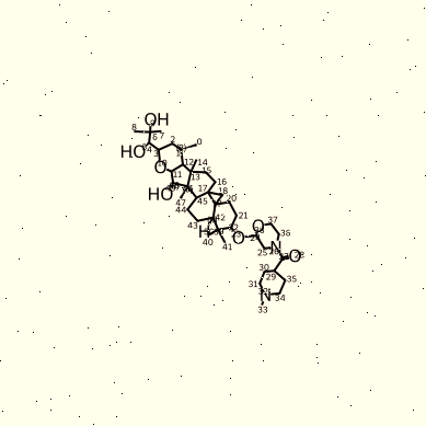 C[C@@H]1CC(C(O)C(C)(C)O)OC2C1C1(C)CCC34CC35CCC(OC3CN(C(=O)C6CCN(C)CC6)CCO3)C(C)(C)[C@@H]5CCC4[C@]1(C)[C@H]2O